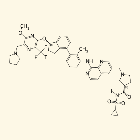 COc1nc(O[C@@H]2CCc3c(-c4cccc(Nc5nccc6cc(CN7CC[C@@H](C(=O)N(I)S(=O)(=O)C8CC8)C7)cnc56)c4C)cccc32)c(C(F)(F)F)nc1CN1CCCC1